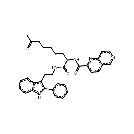 CC(=O)CCCCCC(NC(=O)c1ccc2cnccc2n1)C(=O)NCCc1c(-c2ccccc2)[nH]c2ccccc12